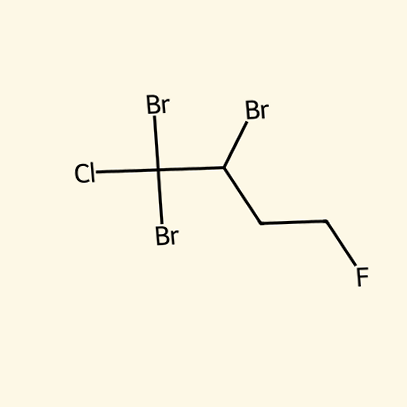 FCCC(Br)C(Cl)(Br)Br